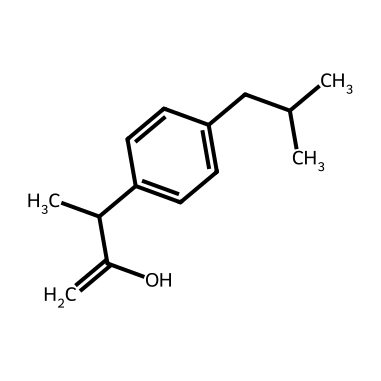 C=C(O)C(C)c1ccc(CC(C)C)cc1